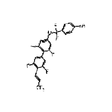 CCCc1ccc(C(F)(F)Oc2cc(F)c(-c3cc(F)c(/C=C/C(F)(F)F)c(F)c3)c(F)c2)cc1